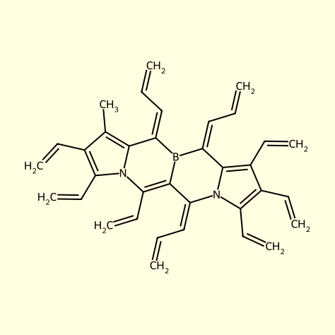 C=C/C=C1/B2C(=C(C=C)n3c(C=C)c(C=C)c(C)c31)/C(=C\C=C)n1c(C=C)c(C=C)c(C=C)c1/C2=C\C=C